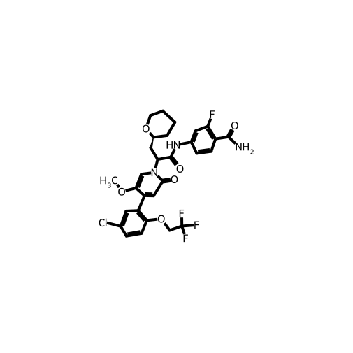 COc1cn(C(C[C@@H]2CCCCO2)C(=O)Nc2ccc(C(N)=O)c(F)c2)c(=O)cc1-c1cc(Cl)ccc1OCC(F)(F)F